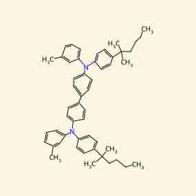 CCCCC(C)(C)c1ccc(N(c2ccc(-c3ccc(N(c4ccc(C(C)(C)CCCC)cc4)c4cccc(C)c4)cc3)cc2)c2cccc(C)c2)cc1